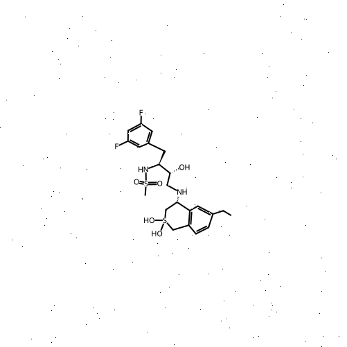 CCc1ccc2c(c1)[C@@H](NC[C@@H](O)[C@H](Cc1cc(F)cc(F)c1)NS(C)(=O)=O)CS(O)(O)C2